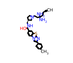 C#CCCC(N)(N)CCN1CC[C@H](CNC(O)c2ccc3c(c2)sc2nc(-c4ccc(C)cc4)cn23)C1